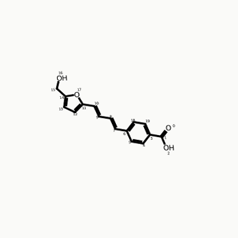 O=C(O)c1ccc(/C=C/C=C/c2ccc(CO)o2)cc1